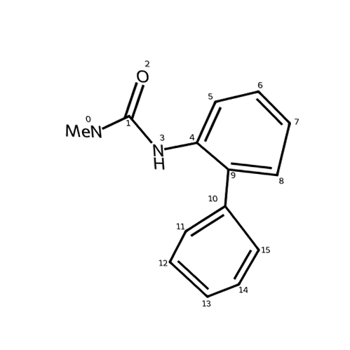 CNC(=O)Nc1ccccc1-c1ccccc1